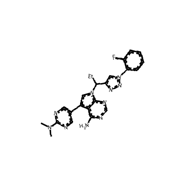 CCC(c1cn(-c2ccccc2F)nn1)n1cc(-c2cnc(N(C)C)nc2)c2c(N)ncnc21